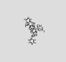 CC(C)C(NC(=O)OCc1ccccc1)C(=O)N[C@@H](Cc1ccccc1)C(=O)CF